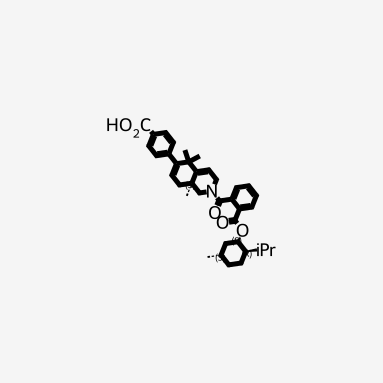 CC(C)[C@H]1CC[C@H](C)C[C@@H]1OC(=O)c1ccccc1C(=O)N1CC=C2C(C)(C)C(c3ccc(C(=O)O)cc3)=CC[C@]2(C)C1